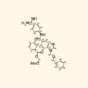 COCOC(=O)c1ccccc1-c1cc2c(cc1C(=O)Nc1ccc(C(=N)N)cc1)ncn2COCc1ccccc1